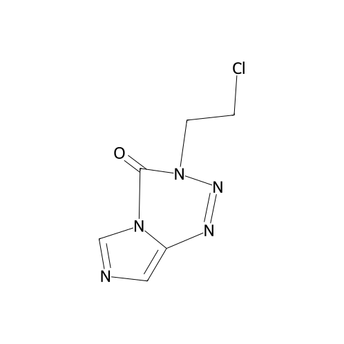 O=c1n(CCCl)nnc2cncn12